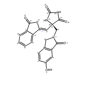 COc1ccc2c(c1)C(=O)N(C[C@@]1(/C=C3\OC(=O)c4ncccc43)NC(=O)NC1=O)C2